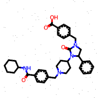 O=C(O)c1ccc(CN2CC(c3ccccc3)N(C3CCN(Cc4ccc(C(=O)NC5CCCCC5)cc4)CC3)C2=O)cc1